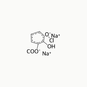 O=C([O-])c1ccccc1O.[Na+].[Na+].[O-]Cl